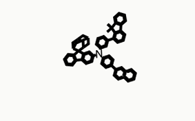 CC1(C)c2ccccc2-c2cccc(-c3cccc(N(c4ccc(-c5ccc6ccccc6c5)cc4)c4ccc5c(c4)C4(c6ccccc6-5)C5CC6CC(C5)CC4C6)c3)c21